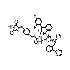 CC(C)CN(Cc1ccccc1-c1ccccc1)[C@@H]1C[C@@H](CNC(=O)/C=C/c2ccc(/C=C3\SC(=O)NC3=O)cc2)N(C(=O)c2ccccc2C(=O)c2ccc(F)cc2F)C1